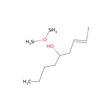 CCCCC(O)C/C=C/I.[SiH3]O[SiH3]